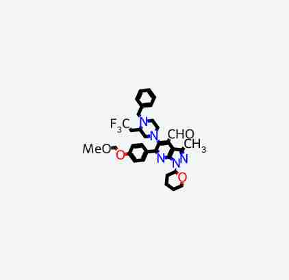 COCOc1ccc(-c2nc3c(c(C)nn3[C@H]3CCCCO3)c(C=O)c2N2CCN(Cc3ccccc3)C(CC(F)(F)F)C2)cc1